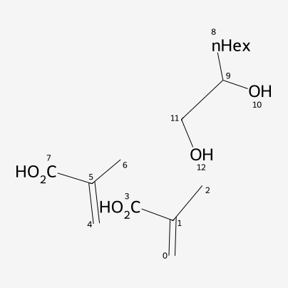 C=C(C)C(=O)O.C=C(C)C(=O)O.CCCCCCC(O)CO